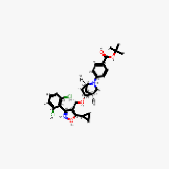 CC(C)(C)OC(=O)c1ccc(N2C[C@@H]3C[C@H]2C[C@H]3OCc2c(-c3c(Cl)cccc3Cl)noc2C2CC2)cc1